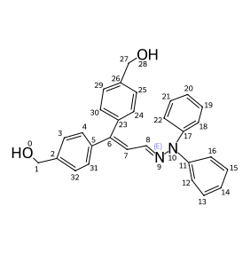 OCc1ccc(C(=C/C=N/N(c2ccccc2)c2ccccc2)c2ccc(CO)cc2)cc1